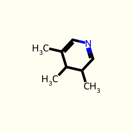 CC1=CN=CC(C)C1C